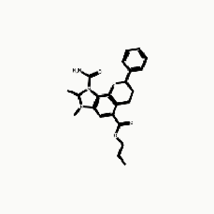 CCCOC(=O)c1cc2c(c3c1CCC(c1ccccc1)O3)N(C(N)=O)C(C)N2C